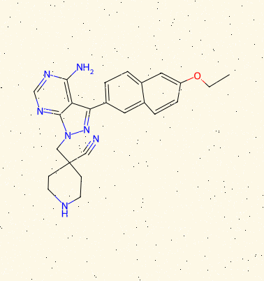 CCOc1ccc2cc(-c3nn(CC4(C#N)CCNCC4)c4ncnc(N)c34)ccc2c1